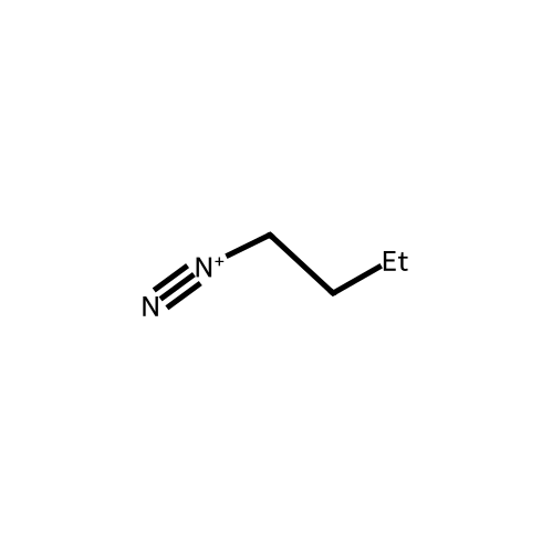 CCCC[N+]#N